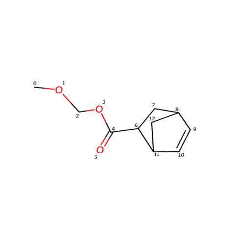 COCOC(=O)C1CC2C=CC1C2